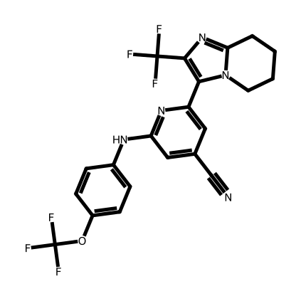 N#Cc1cc(Nc2ccc(OC(F)(F)F)cc2)nc(-c2c(C(F)(F)F)nc3n2CCCC3)c1